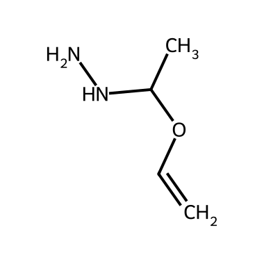 C=COC(C)NN